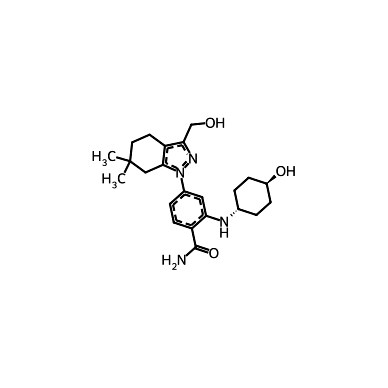 CC1(C)CCc2c(CO)nn(-c3ccc(C(N)=O)c(N[C@H]4CC[C@H](O)CC4)c3)c2C1